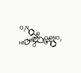 O=C(NC1CCNCC1)[C@@H]1CC[C@H](OS(=O)(=O)c2ccccc2[N+](=O)[O-])CN1S(=O)(=O)c1ccc([N+](=O)[O-])cc1